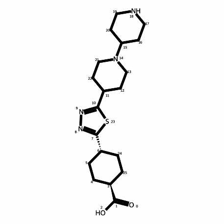 O=C(O)[C@H]1CC[C@H](c2nnc(C3CCN(C4CCNCC4)CC3)s2)CC1